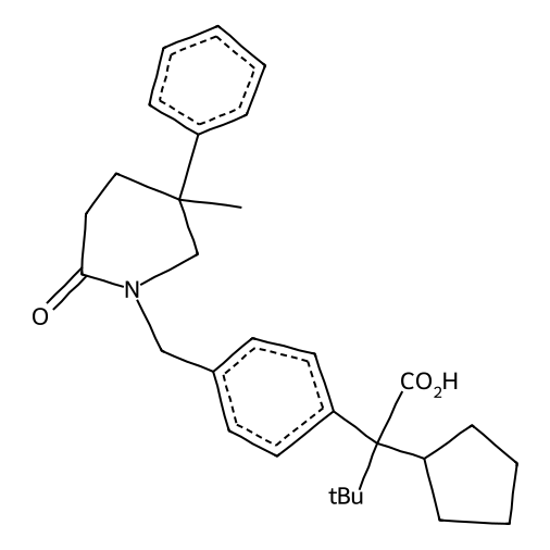 CC1(c2ccccc2)CCC(=O)N(Cc2ccc(C(C(=O)O)(C3CCCC3)C(C)(C)C)cc2)C1